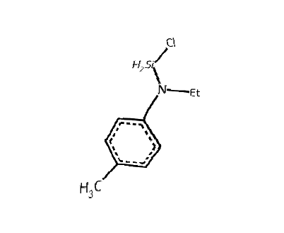 CCN([SiH2]Cl)c1ccc(C)cc1